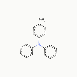 [BeH2].c1ccc(N(c2ccccc2)c2ccccc2)cc1